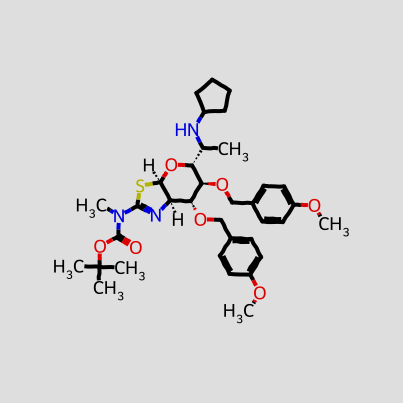 COc1ccc(CO[C@@H]2[C@H]3N=C(N(C)C(=O)OC(C)(C)C)S[C@H]3O[C@H](C(C)NC3CCCC3)[C@H]2OCc2ccc(OC)cc2)cc1